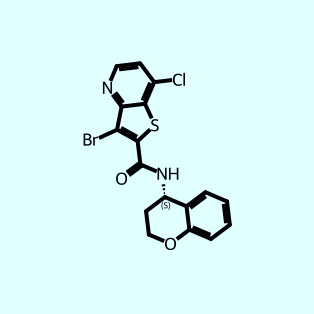 O=C(N[C@H]1CCOc2ccccc21)c1sc2c(Cl)ccnc2c1Br